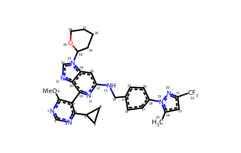 COc1ncnc(C2CC2)c1-c1nc(NCc2ccc(-n3nc(C(F)(F)F)cc3C)cc2)cc2c1ncn2C1CCCCO1